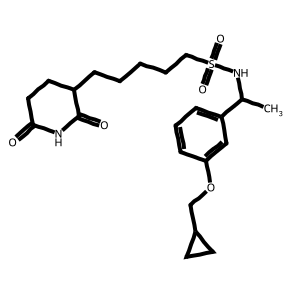 CC(NS(=O)(=O)CCCCCC1CCC(=O)NC1=O)c1cccc(OCC2CC2)c1